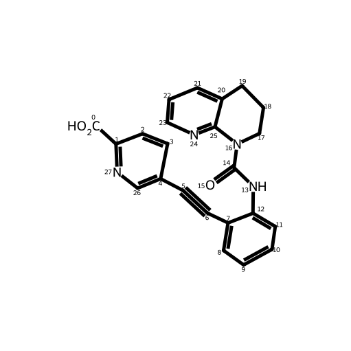 O=C(O)c1ccc(C#Cc2ccccc2NC(=O)N2CCCc3cccnc32)cn1